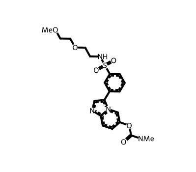 CNC(=O)Oc1ccc2ncc(-c3cccc(S(=O)(=O)NCCOCCOC)c3)n2c1